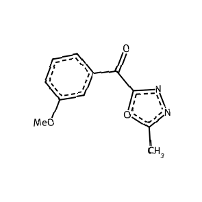 COc1cccc(C(=O)c2nnc(C)o2)c1